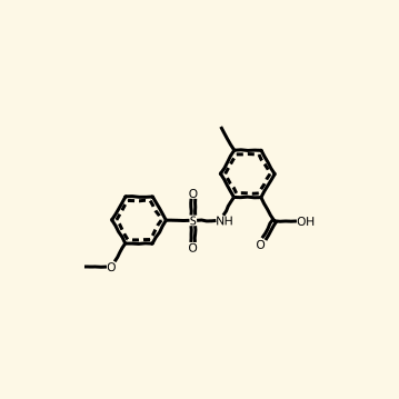 COc1cccc(S(=O)(=O)Nc2cc(C)ccc2C(=O)O)c1